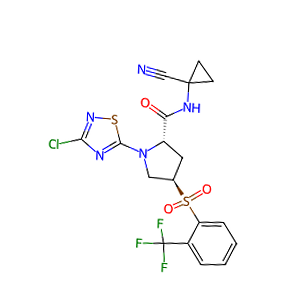 N#CC1(NC(=O)[C@@H]2C[C@@H](S(=O)(=O)c3ccccc3C(F)(F)F)CN2c2nc(Cl)ns2)CC1